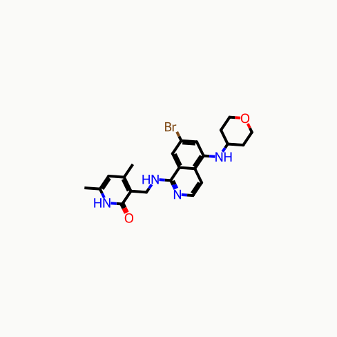 Cc1cc(C)c(CNc2nccc3c(NC4CCOCC4)cc(Br)cc23)c(=O)[nH]1